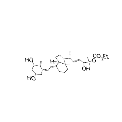 C=C1/C(=C\C=C2/CCC[C@]3(C)[C@@H]([C@H](C)/C=C/[C@@H](O)C(C)(C)OC(=O)OCC)CC[C@@H]23)CC(O)CC1O